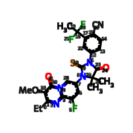 CCc1nc2c(F)cc(N3C(=S)N(c4ccc(C#N)c(C(C)(F)F)c4)C(=O)C3(C)C)cn2c(=O)c1OC